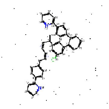 C=C(/C=C\C=C/Cc1ccc(-c2ccccn2)cc1)c1cc(Cl)cc(-c2ccccc2-c2ccc(-c3ccccn3)cc2)c1